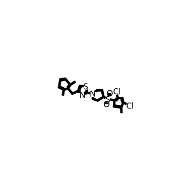 Cc1cc(S(=O)(=O)C2CCN(c3nc(Cc4c(C)cccc4C)cs3)CC2)c(Cl)cc1Cl